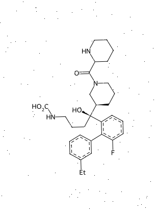 CCc1cccc(-c2c(F)cccc2[C@](O)(CCCNC(=O)O)[C@@H]2CCCN(C(=O)C3CCCCN3)C2)c1